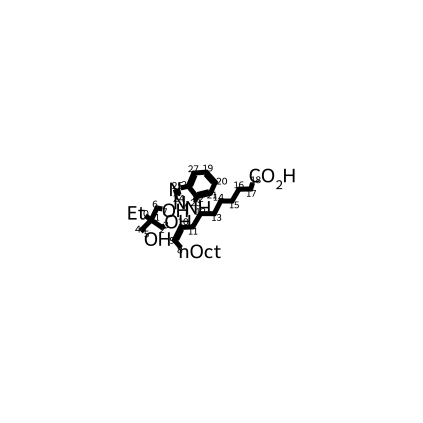 CCC(CO)(CO)CO.CCCCCCCC/C=C\CCCCCCCC(=O)O.c1ccc2[nH]nnc2c1